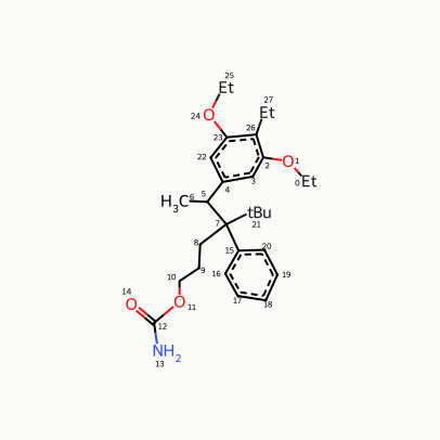 CCOc1cc(C(C)C(CCCOC(N)=O)(c2ccccc2)C(C)(C)C)cc(OCC)c1CC